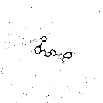 CCC(NC(=O)c1ccc2c(ccn2Cc2ccccc2-c2ccccc2C(=O)O)c1)c1ccccc1